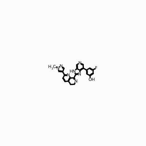 Cn1cc(-c2ccc3c(n2)C(c2nc4c(-c5cc(O)cc(F)c5)cncc4[nH]2)=NCC3)cn1